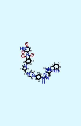 Cc1cccc(C)c1Nc1nn(C)c2nc(Nc3ccc(N4CCN(C[C@H]5CCN(c6ccc7c(c6)C(=O)N(C6CCC(=O)NC6=O)C7=O)C5)CC4)cc3)ncc12